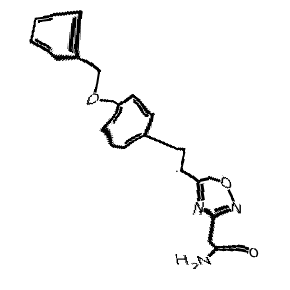 NC(=O)c1noc([CH]Cc2ccc(OCc3ccccc3)cc2)n1